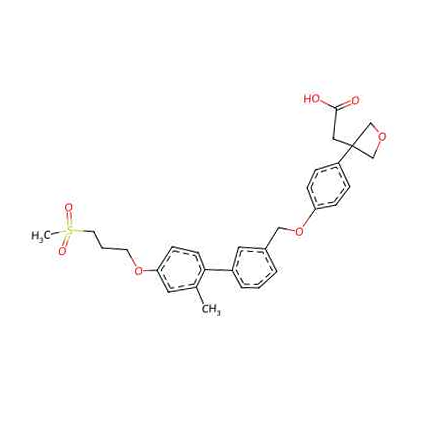 Cc1cc(OCCCS(C)(=O)=O)ccc1-c1cccc(COc2ccc(C3(CC(=O)O)COC3)cc2)c1